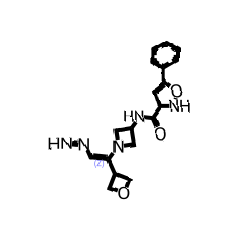 N=N/C=C(/C1COC1)N1CC(NC(=O)C2C=C(c3ccccc3)ON2)C1